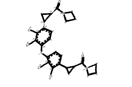 O=C(C1CC1c1ccc(Sc2ccc([C@@H]3C[C@H]3C(=O)N3CCC3)c(Cl)c2Cl)c(Cl)c1Cl)N1CCC1